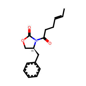 CC=CCCC(=O)N1C(=O)OC[C@@H]1Cc1ccccc1